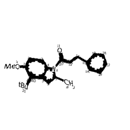 COc1ccc2c([c]c(C)n2C(=O)CCc2ccccc2)c1C(C)(C)C